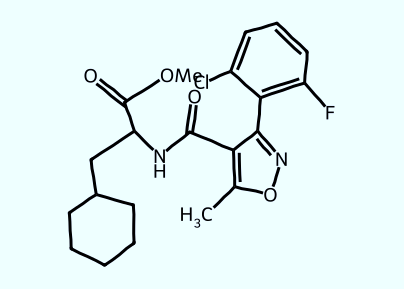 COC(=O)C(CC1CCCCC1)NC(=O)c1c(-c2c(F)cccc2Cl)noc1C